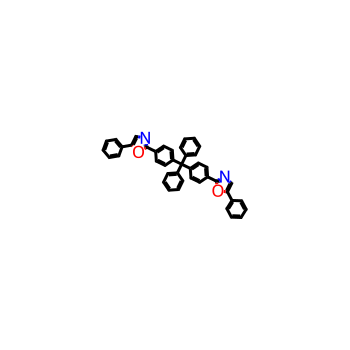 c1ccc(-c2cnc(-c3ccc(C(c4ccccc4)(c4ccccc4)c4ccc(-c5ncc(-c6ccccc6)o5)cc4)cc3)o2)cc1